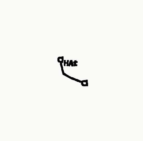 ClCCl.[AtH]